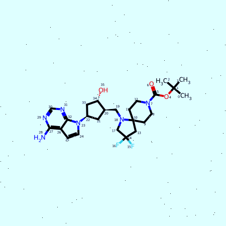 CC(C)(C)OC(=O)N1CCC2(CC1)CC(F)(F)CN2C[C@H]1C[C@@H](n2ccc3c(N)ncnc32)C[C@@H]1O